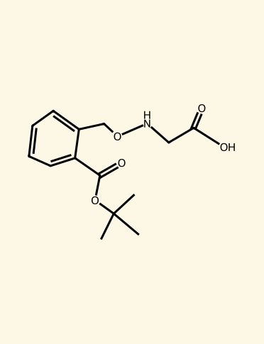 CC(C)(C)OC(=O)c1ccccc1CONCC(=O)O